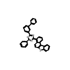 c1ccc(-c2cccc(-c3nc(-c4ccccc4)nc(-c4cccc5c4ccc4sc6ccccc6c45)n3)c2)cc1